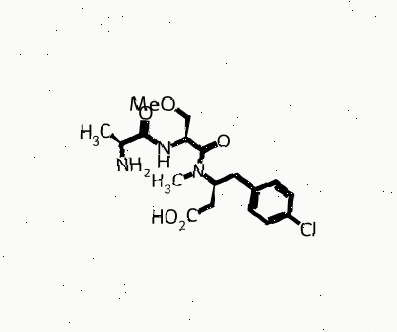 COC[C@H](NC(=O)[C@H](C)N)C(=O)N(C)[C@H](CC(=O)O)Cc1ccc(Cl)cc1